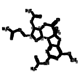 COc1nc(NC(C)=O)nc2c1sc(=O)n2[C@@H]1O[C@H](COC(C)=O)[C@@H](OC(C)=O)[C@H]1OC(C)=O